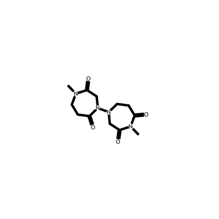 CN1CCC(=O)N(N2CCC(=O)N(C)C(=O)C2)CC1=O